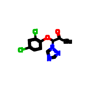 CC(C)(C)C(=O)C(Oc1ccc(Cl)cc1Cl)n1cncn1